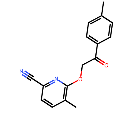 Cc1ccc(C(=O)COc2nc(C#N)ccc2C)cc1